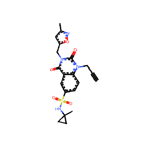 C#CCn1c(=O)n(Cc2cc(C)no2)c(=O)c2cc(S(=O)(=O)NC3(C)CC3)ccc21